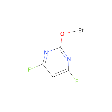 CCOc1nc(F)cc(F)n1